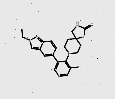 CCn1cc2cc(-c3cncc(Cl)c3N3CCC4(CC3)CNC(=O)O4)ccc2n1